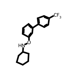 FC(F)(F)c1ccc(-c2cccc(ONC3CCCCC3)c2)cc1